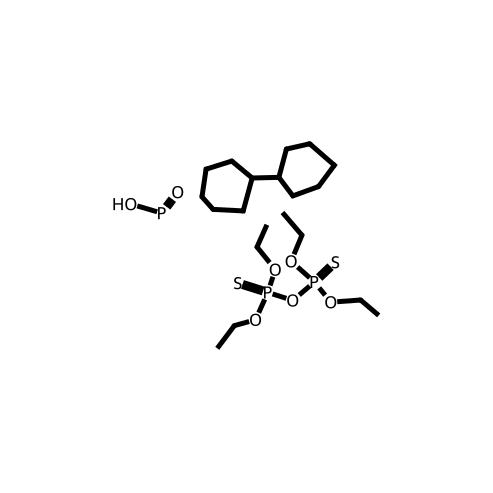 C1CCC(C2CCCCC2)CC1.CCOP(=S)(OCC)OP(=S)(OCC)OCC.O=PO